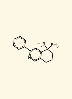 BC1(B)CCCc2cnc(-c3ccccc3)cc21